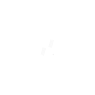 C.C#C.C#C